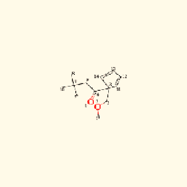 COCC1(C(=O)CC(C)(C)C)C=CC=C1